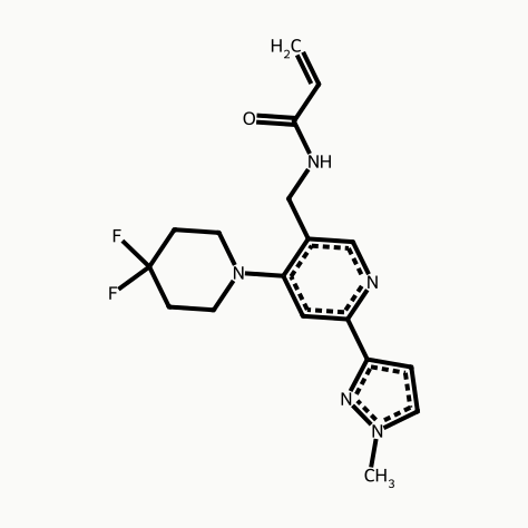 C=CC(=O)NCc1cnc(-c2ccn(C)n2)cc1N1CCC(F)(F)CC1